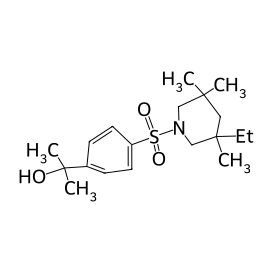 CCC1(C)CN(S(=O)(=O)c2ccc(C(C)(C)O)cc2)CC(C)(C)C1